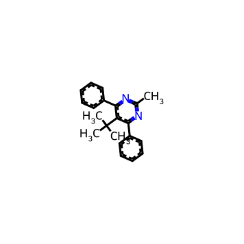 Cc1nc(-c2ccccc2)c(C(C)(C)C)c(-c2ccccc2)n1